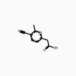 Cc1nc(CC(=O)O)ccc1C#N